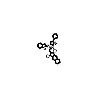 Cn1c(-c2ccccc2)cc2c1nc(C=C1C(=O)c3cc4ccccc4cc3C1=O)n2-c1cc2ccccc2s1